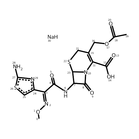 CON=C(C(=O)NC1C(=O)N2C(C(=O)O)=C(COC(C)=O)CSC12)c1csc(N)n1.[NaH]